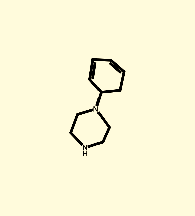 C1=CCC(N2CCNCC2)C=C1